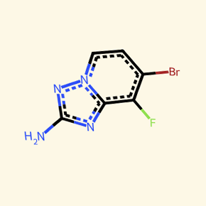 Nc1nc2c(F)c(Br)ccn2n1